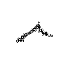 Cc1cc(-c2n[nH]c3ncc(-c4ccc(N5CCN(CCC6CCN(c7ccc(C8CCC(=O)NC8=O)cc7)CC6)CC5)cc4)cc23)ccc1CNC(=O)c1noc(C(C)(C)C)n1